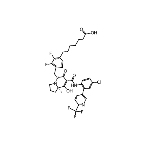 C[C@]12CCCN1N(Cc1ccc(CCCCCCC(=O)O)c(F)c1F)C(=O)C(C(=O)Nc1ccc(Cl)cc1-c1ccc(C(F)(F)F)nc1)=C2O